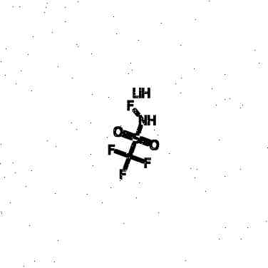 O=S(=O)(NF)C(F)(F)F.[LiH]